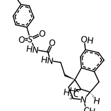 C[C@H]1[C@H]2Cc3ccc(O)cc3[C@@]1(CCNC(=O)NS(=O)(=O)c1ccc(F)cc1)CCN2C